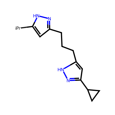 CC(C)c1cc(CCCc2cc(C3CC3)n[nH]2)n[nH]1